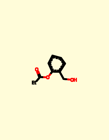 CCC(=O)Oc1ccccc1CO